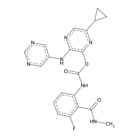 CNC(=O)c1c(F)cccc1NC(=O)Oc1nc(C2CC2)cnc1Nc1cncnc1